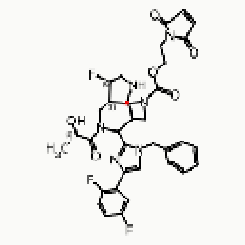 C[C@H](O)C(=O)N(C[C@@H]1CNC[C@@H]1F)C(c1nc(-c2cc(F)ccc2F)cn1Cc1ccccc1)C1CN(C(=O)OCCN2C(=O)C=CC2=O)C1